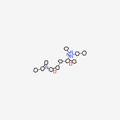 c1ccc(-c2ccc(-c3nc(-c4ccccc4)nc(-c4cc(-c5cccc(-c6ccc7oc8ccc(-n9c%10ccccc%10c%10cc(-c%11ccccc%11)ccc%109)cc8c7c6)c5)cc5oc6ccccc6c45)n3)cc2)cc1